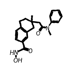 CN(C(=O)CC1(C)CCc2ccc(C(=O)NO)cc2C1)c1ccccc1